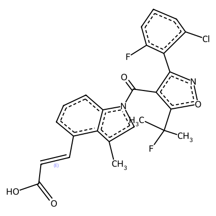 Cc1cn(C(=O)c2c(-c3c(F)cccc3Cl)noc2C(C)(C)F)c2cccc(/C=C/C(=O)O)c12